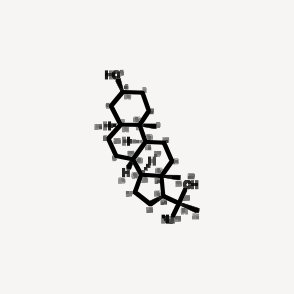 C[C@]12CC[C@H](O)C[C@@H]1CC[C@@H]1[C@@H]2CC[C@@]2(C)[C@H]1CC[C@@H]2[C@](C)(O)[Na]